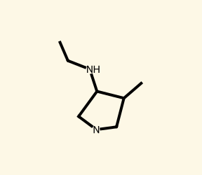 CCNC1C[N]CC1C